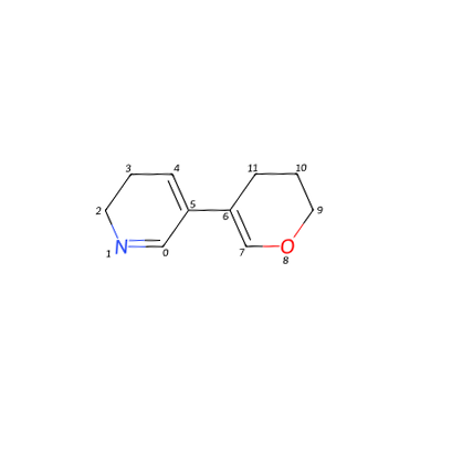 C1=NCCC=C1C1=COCCC1